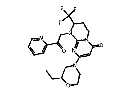 CC[C@H]1CN(c2cc(=O)n3c(n2)N(CC(=O)c2ccccn2)C(C(F)(F)F)CC3)CCO1